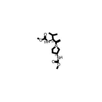 C=C([C@@H](NC(=O)OC)C(C)C)N1CC[C@H](NC(=O)OC)C1